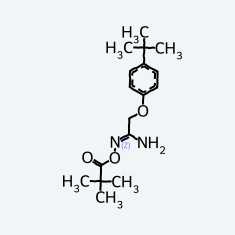 CC(C)(C)C(=O)O/N=C(\N)COc1ccc(C(C)(C)C)cc1